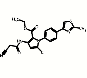 CCOC(=O)c1c(NC(=O)CC#N)cc(Cl)n1-c1ccc(-c2csc(C)n2)cc1